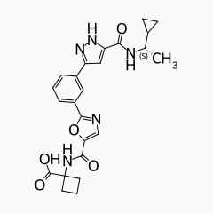 C[C@H](NC(=O)c1cc(-c2cccc(-c3ncc(C(=O)NC4(C(=O)O)CCC4)o3)c2)n[nH]1)C1CC1